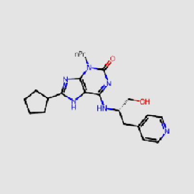 CCCn1c(=O)nc(N[C@H](CO)Cc2ccncc2)c2[nH]c(C3CCCC3)nc21